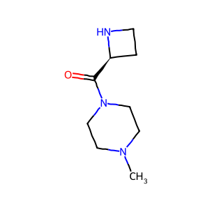 CN1CCN(C(=O)[C@@H]2CCN2)CC1